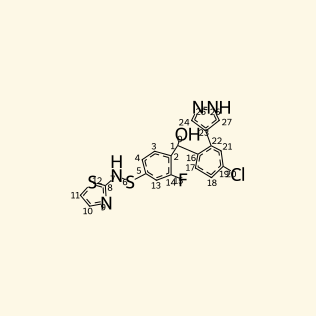 OC(c1ccc(SNc2nccs2)cc1F)c1ccc(Cl)cc1-c1cn[nH]c1